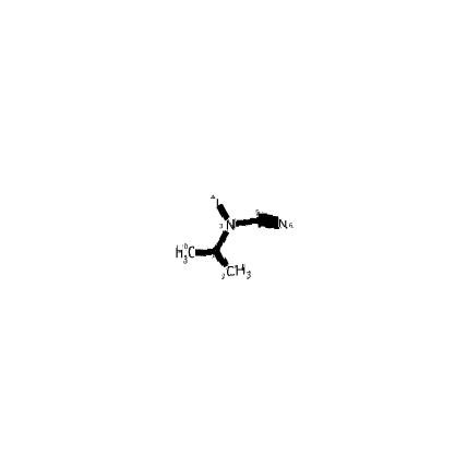 CC(C)N(I)C#N